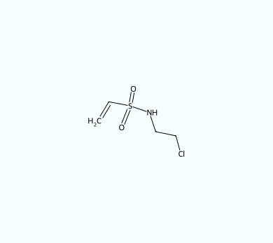 C=CS(=O)(=O)NCCCl